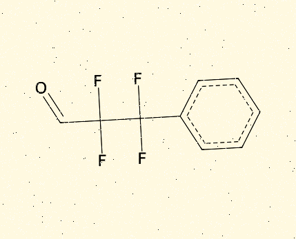 O=CC(F)(F)C(F)(F)c1ccccc1